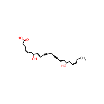 CC/C=C\C[C@H](O)/C=C/C#CCC#C/C=C/[C@@H](O)C/C=C\CCC(=O)O